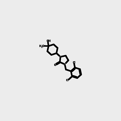 CC1(O)CCC(N2CCN(Cc3c(Cl)cccc3Cl)C2=O)CC1